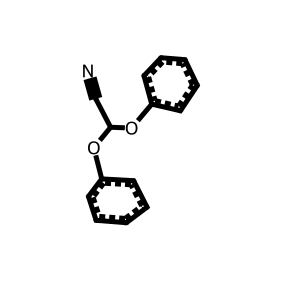 N#CC(Oc1ccccc1)Oc1ccccc1